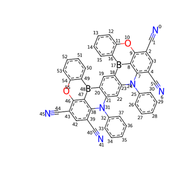 N#Cc1cc(C#N)c2c3c1Oc1ccccc1B3c1cc3c(cc1N2c1ccccc1)N(c1ccccc1)c1c(C#N)cc(C#N)c2c1B3c1ccccc1O2